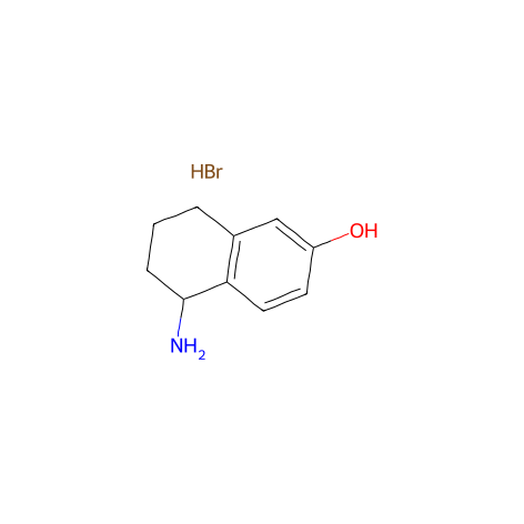 Br.NC1CCCc2cc(O)ccc21